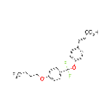 O=C(O)C=Cc1ccc(OC(F)(F)c2ccc(OCCCC(F)(F)F)cc2)cc1